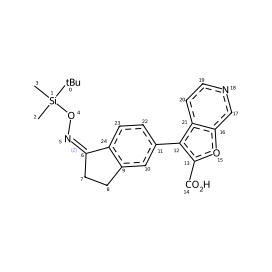 CC(C)(C)[Si](C)(C)O/N=C1/CCc2cc(-c3c(C(=O)O)oc4cnccc34)ccc21